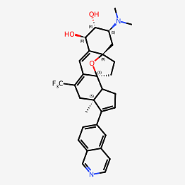 CN(C)[C@H]1C[C@@]23CC[C@@]4(O2)C(=C(C(F)(F)F)C[C@]2(C)C(c5ccc6cnccc6c5)=CCC24)C=C3[C@@H](O)[C@@H]1O